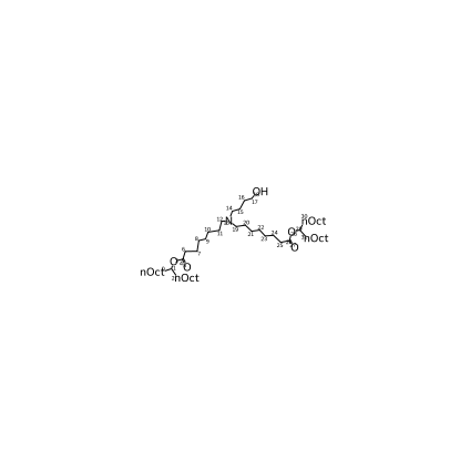 CCCCCCCCC(CCCCCCCC)OC(=O)CCCCCCCN(CCCCO)CCCCCCCC(=O)OC(CCCCCCCC)CCCCCCCC